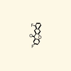 O=c1c2cc(F)ccc2oc2cc3cccc(F)c3cc12